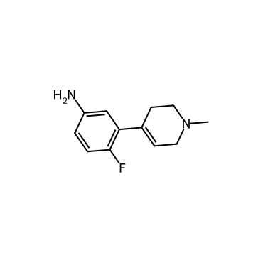 CN1CC=C(c2cc(N)ccc2F)CC1